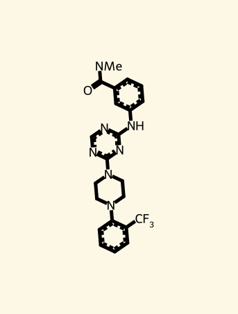 CNC(=O)c1cccc(Nc2ncnc(N3CCN(c4ccccc4C(F)(F)F)CC3)n2)c1